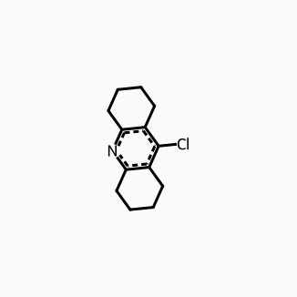 Clc1c2c(nc3c1CCCC3)CCCC2